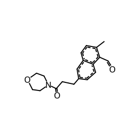 Cc1ccc2cc(CCC(=O)N3CCOCC3)ccc2c1C=O